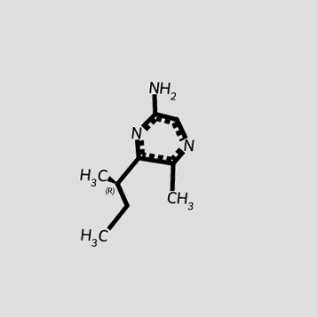 CC[C@@H](C)c1nc(N)cnc1C